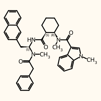 CN(C(=O)c1cn(C)c2ccccc12)[C@@H]1CCCC[C@@H]1C(=O)N[C@H](Cc1ccc2ccccc2c1)N(C)C(=O)Cc1ccccc1